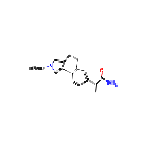 C=C(C(N)=O)c1ccc2c(c1)CCc1cn(CCCCC)cc1-2